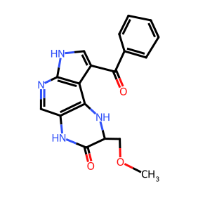 COCC1Nc2c(cnc3[nH]cc(C(=O)c4ccccc4)c23)NC1=O